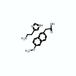 COc1ccc2cc(CC(=O)O)ccc2c1.NCCc1c[nH]cn1